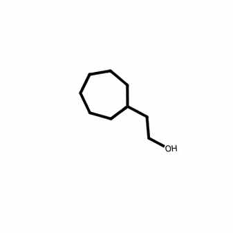 OCC[C]1CCCCCC1